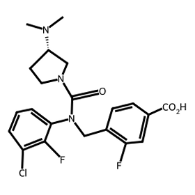 CN(C)[C@H]1CCN(C(=O)N(Cc2ccc(C(=O)O)cc2F)c2cccc(Cl)c2F)C1